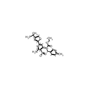 CCOC(=O)N(Cc1ccc(C)nc1)c1cc(-c2nc(C(C)C)co2)nc(N)c1[N+](=O)[O-]